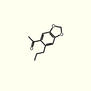 CCCc1cc2c(cc1C(C)=O)OCO2